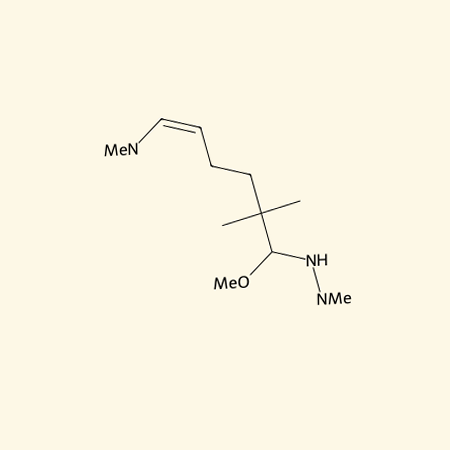 CN/C=C\CCC(C)(C)C(NNC)OC